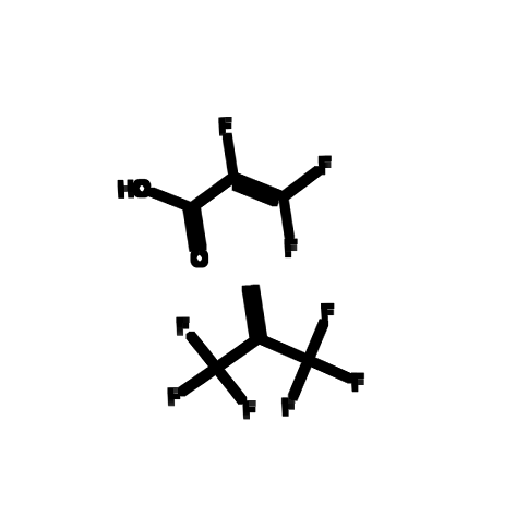 C=C(C(F)(F)F)C(F)(F)F.O=C(O)C(F)=C(F)F